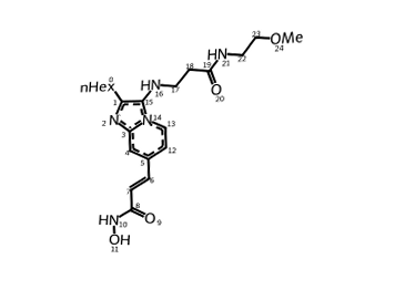 CCCCCCc1nc2cc(C=CC(=O)NO)ccn2c1NCCC(=O)NCCOC